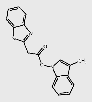 Cc1cn(OC(=O)Cc2nc3ccccc3s2)c2ccccc12